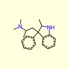 CC(CC1(c2ccccc2)c2ccccc2NC1C)N(C)C